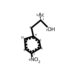 CC(=O)[C@H](O)Cc1ccc([N+](=O)[O-])cc1